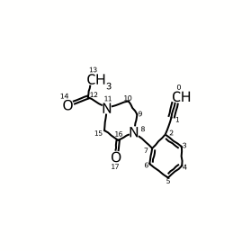 C#Cc1ccccc1N1CCN(C(C)=O)CC1=O